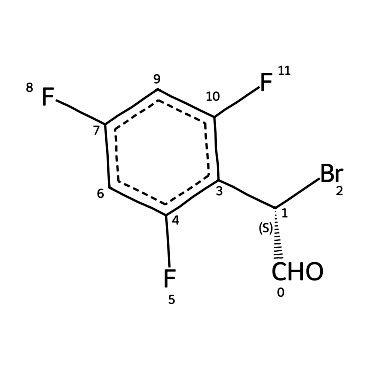 O=C[C@@H](Br)c1c(F)cc(F)cc1F